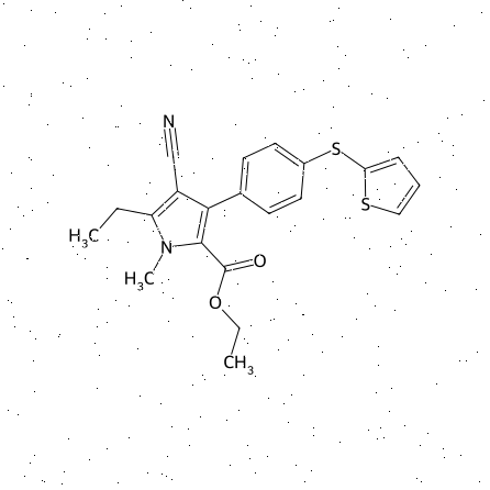 CCOC(=O)c1c(-c2ccc(Sc3cccs3)cc2)c(C#N)c(CC)n1C